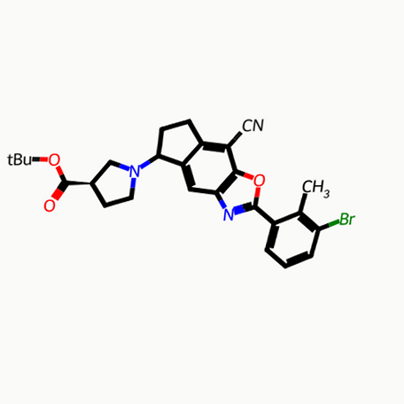 Cc1c(Br)cccc1-c1nc2cc3c(c(C#N)c2o1)CCC3N1CC[C@@H](C(=O)OC(C)(C)C)C1